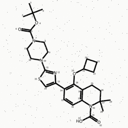 CC(C)(C)OC(=O)N1CCN(c2nc(-c3ccc4c(c3OC3CCC3)CCC(C)(C)N4C(=O)O)cs2)CC1